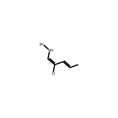 C/C=C/C(Cl)=C\NC(C)C